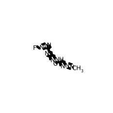 CN1CCN(c2ccc(C(=O)Nc3cc4cc(-c5cnn6c5CN(CCF)CC6)ncc4cn3)cn2)CC1